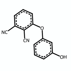 N#Cc1cccc(Oc2cccc(O)c2)c1C#N